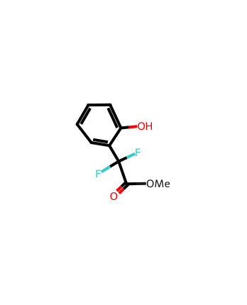 COC(=O)C(F)(F)c1ccccc1O